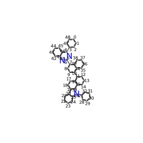 c1ccc(-c2nc(-c3ccc(-c4cccc5c4ccc4c6ccccc6n(-c6ccccc6)c54)c4ccccc34)nc3ccccc23)cc1